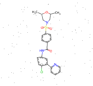 CC1CN(S(=O)(=O)c2ccc(C(=O)Nc3ccc(Cl)c(-c4ccccn4)c3)cc2)CC(C)O1